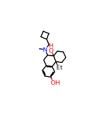 CCC12CCCCC1(O)C(N(C)CC1CCC1)Cc1ccc(O)cc12